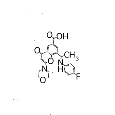 CC(Nc1ccc(F)cc1)c1cc(C(=O)O)cc2c(=O)cc(N3CCOCC3)oc12